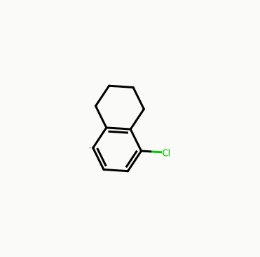 Clc1cc[c]c2c1CCCC2